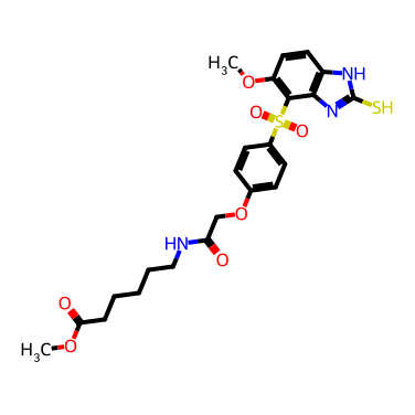 COC(=O)CCCCCNC(=O)COc1ccc(S(=O)(=O)c2c(OC)ccc3[nH]c(S)nc23)cc1